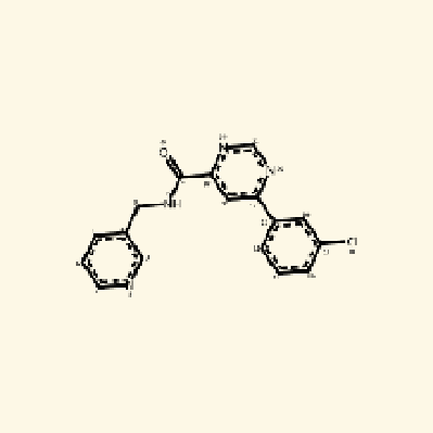 O=C(NCc1cccnc1)c1cc(-c2cccc(Cl)c2)ncn1